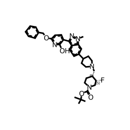 Cn1nc(-c2ccc(OCc3ccccc3)nc2O)c2ccc(C3CCN(C[C@H]4CCN(C(=O)OC(C)(C)C)C[C@H]4F)CC3)cc21